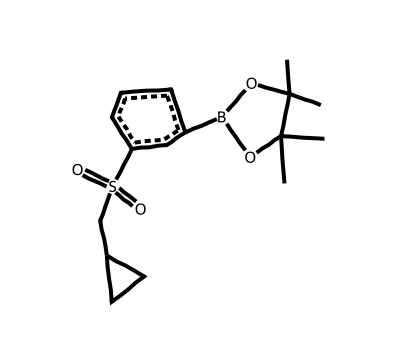 CC1(C)OB(c2cccc(S(=O)(=O)CC3CC3)c2)OC1(C)C